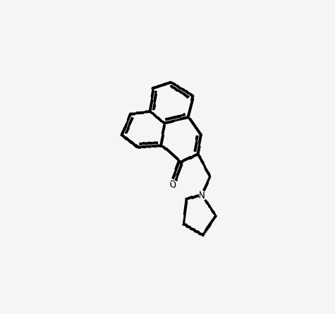 O=C1C(CN2CCCC2)=Cc2cccc3cccc1c23